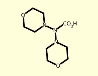 O=C(O)N(N1CCOCC1)N1CCOCC1